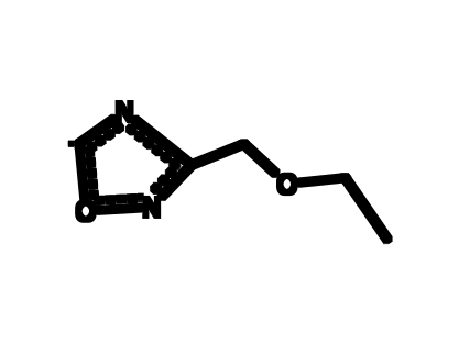 CCOCc1n[c]on1